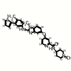 Cc1ccc(Nc2nc3cc(Oc4ccnc(C(=O)NC5CCN(C)CC5)c4)ccc3n2C)cc1-c1cccs1